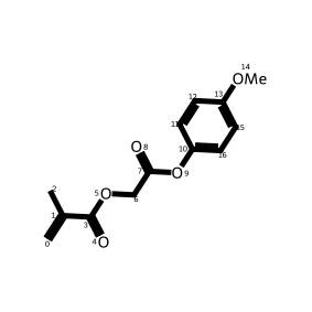 C=C(C)C(=O)OCC(=O)Oc1ccc(OC)cc1